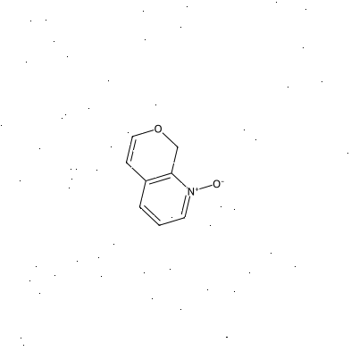 [O-][n+]1cccc2c1COC=C2